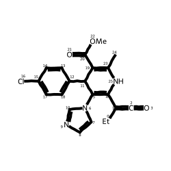 CCC(=C=O)C1=C(n2ccnc2)C(c2ccc(Cl)cc2)C(C(=O)OC)=C(C)N1